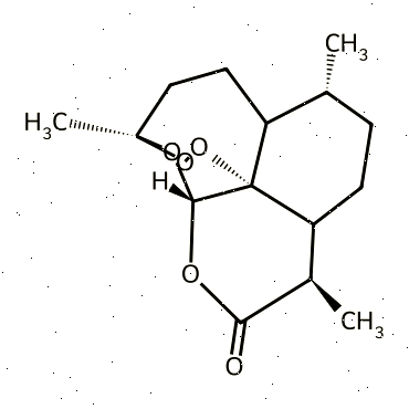 C[C@@H]1CCC2[C@@H](C)C(=O)O[C@@H]3O[C@]4(C)CCC1[C@@]23OO4